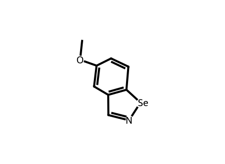 COc1ccc2[se]ncc2c1